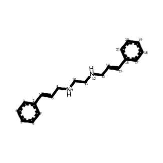 C(=C\c1ccccc1)/CNCCNC/C=C/c1ccccc1